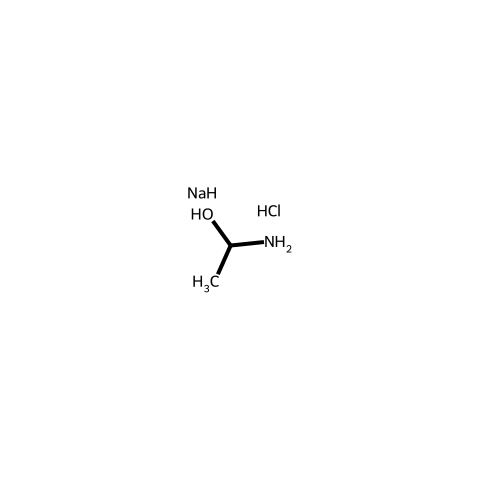 CC(N)O.Cl.[NaH]